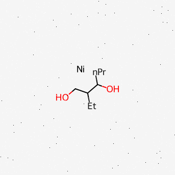 CCCC(O)C(CC)CO.[Ni]